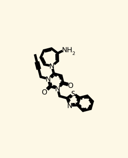 CC#CCn1c(N2C=CC=CC(N)=C2)cc(=O)n(Cc2nc3ccccc3s2)c1=O